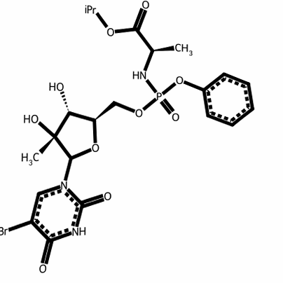 CC(C)OC(=O)[C@@H](C)NP(=O)(OC[C@H]1OC(n2cc(Br)c(=O)[nH]c2=O)[C@](C)(O)[C@@H]1O)Oc1ccccc1